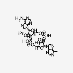 Cc1ncnc2c1ncn2[C@@H]1O[C@@H]2COP(=O)(O)O[C@H]3[C@@H](OC(C)C)[C@H](n4cnc5c(N)ncnc54)O[C@@H]3COP(=O)(O)O[C@@H]1[C@@H]2O